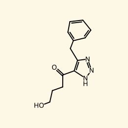 O=C(CCCO)c1[nH]nnc1Cc1ccccc1